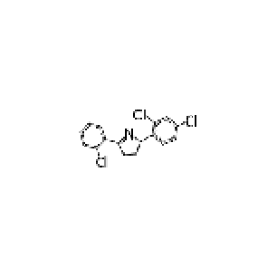 Clc1ccc(C2CCC(c3ccccc3Cl)=N2)c(Cl)c1